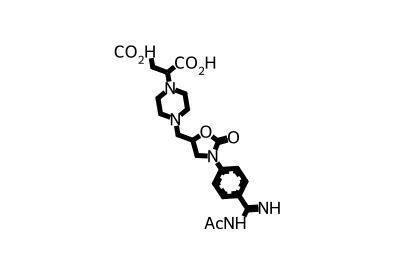 CC(=O)NC(=N)c1ccc(N2CC(CN3CCN(C(CC(=O)O)C(=O)O)CC3)OC2=O)cc1